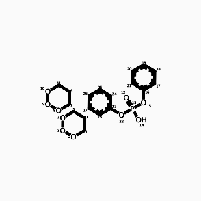 C1COOOC1.C1COOOC1.O=P(O)(Oc1ccccc1)Oc1ccccc1